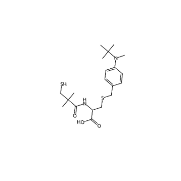 CN(c1ccc(CSCC(NC(=O)C(C)(C)CS)C(=O)O)cc1)C(C)(C)C